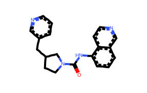 O=C(Nc1cccc2cnccc12)N1CCC(Cc2cccnc2)C1